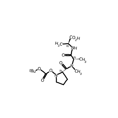 C[C@H](NC(=O)[C@H](C)N(C)C(=O)[C@@H]1CCCN1OC(=O)OC(C)(C)C)C(=O)O